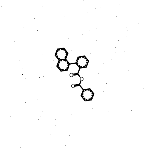 O=C(OC(=O)c1ccccc1-c1cccc2ccccc12)c1ccccc1